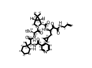 C=CCNC(=O)C(=O)C(CC1CC1)NC(=O)[C@@H]1[C@@H]2[C@H](CN1C(=O)[C@@H](NC(=O)[C@@H](NC(=O)c1cccnc1)C1(C)CCCCC1)C(C)(C)C)C2(C)C